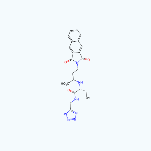 CC(C)C[C@@H](NC(CCN1C(=O)c2cc3ccccc3cc2C1=O)C(=O)O)C(=O)NCc1nnn[nH]1